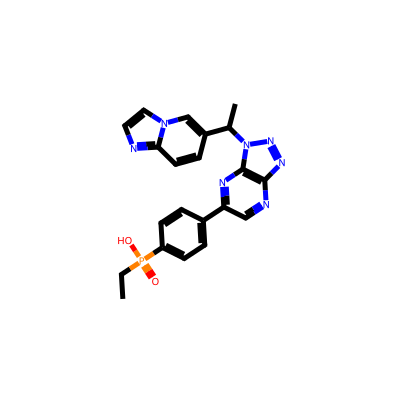 CCP(=O)(O)c1ccc(-c2cnc3nnn(C(C)c4ccc5nccn5c4)c3n2)cc1